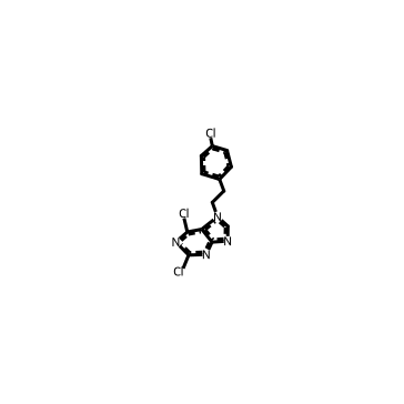 Clc1ccc(CCn2cnc3nc(Cl)nc(Cl)c32)cc1